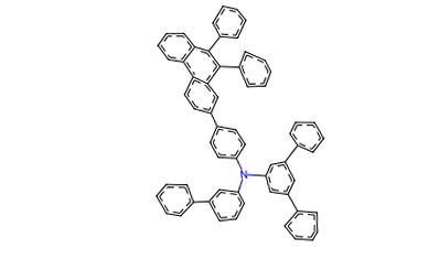 c1ccc(-c2cccc(N(c3ccc(-c4ccc5c(c4)c(-c4ccccc4)c(-c4ccccc4)c4ccccc45)cc3)c3cc(-c4ccccc4)cc(-c4ccccc4)c3)c2)cc1